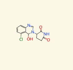 O=C1CCC(N2C=Nc3cccc(Cl)c3C2O)C(=O)N1